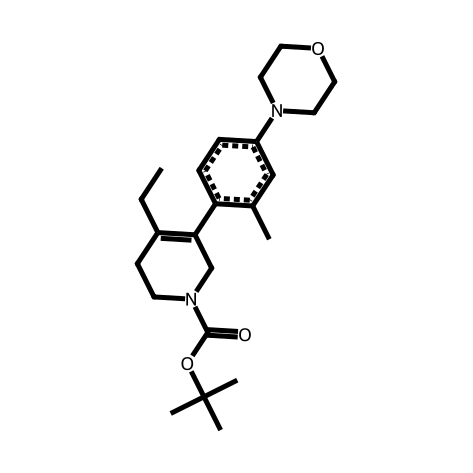 CCC1=C(c2ccc(N3CCOCC3)cc2C)CN(C(=O)OC(C)(C)C)CC1